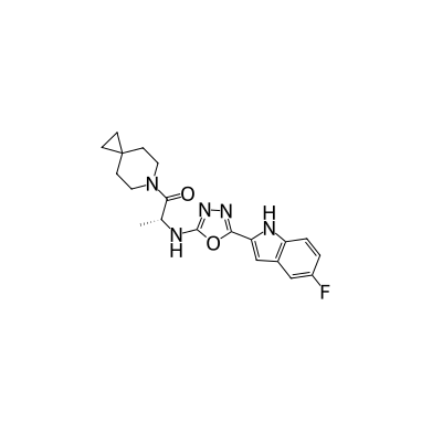 C[C@@H](Nc1nnc(-c2cc3cc(F)ccc3[nH]2)o1)C(=O)N1CCC2(CC1)CC2